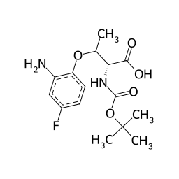 CC(Oc1ccc(F)cc1N)[C@@H](NC(=O)OC(C)(C)C)C(=O)O